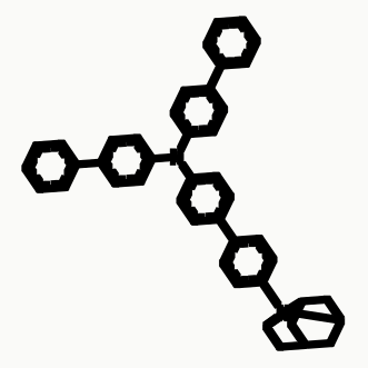 c1ccc(-c2ccc(N(c3ccc(-c4ccccc4)cc3)c3ccc(-c4ccc(N5C6CC7CC(C6)CC5C7)cc4)cc3)cc2)cc1